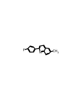 Cc1ccc2nc(-c3ccc(F)cc3)ccc2c1